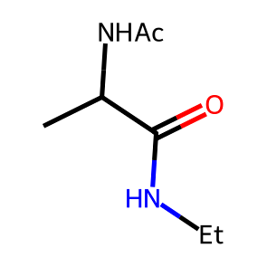 CCNC(=O)C(C)NC(C)=O